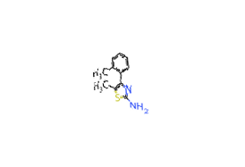 Cc1ccccc1-c1nc(N)sc1C